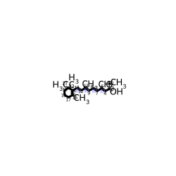 COC(O)/C=C(C)/C=C/C=C(C)/C=C/C1=C(C)CCCC1(C)C